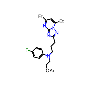 CCc1cc(CC)n2nc(CCCN(CCOC(C)=O)c3ccc(F)cc3)nc2n1